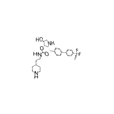 O=C(NCCC1CCNCC1)O[C@@H]1[C@@H](O)CN[C@@H]1Cc1ccc(-c2ccc(C(F)(F)F)cc2)cc1